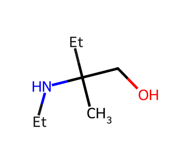 CCNC(C)(CC)CO